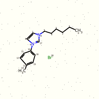 CCCCCCn1cc[n+](-c2ccc(C)cc2)c1.[Br-]